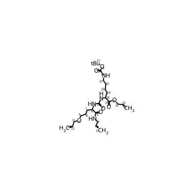 C=CCNC(=O)C(CCCOCC=C)NC(=O)NC(CCCCNC(=O)OC(C)(C)C)C(=O)OCC=C